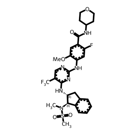 COc1cc(C(=O)NC2CCOCC2)c(F)cc1Nc1ncc(C(F)(F)F)c(N[C@@H]2Cc3ccccc3[C@H]2N(C)S(C)(=O)=O)n1